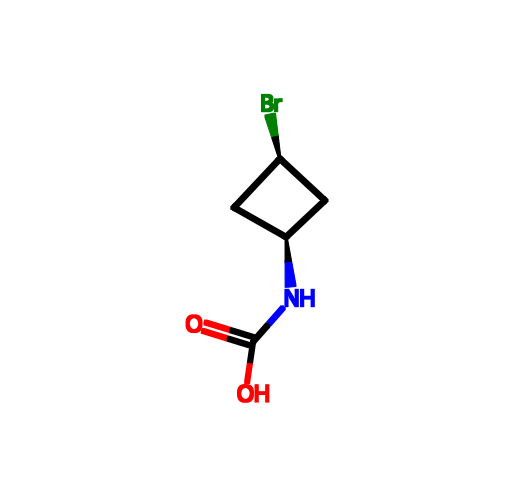 O=C(O)N[C@H]1C[C@@H](Br)C1